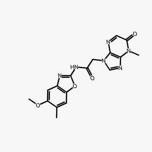 COc1cc2nc(NC(=O)Cn3cnc4c3ncc(=O)n4C)oc2cc1C